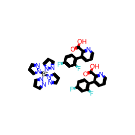 O=C(O)c1ncccc1-c1ccc(F)cc1F.O=C(O)c1ncccc1-c1ccc(F)cc1F.c1cnn([B-](n2cccn2)(n2cccn2)n2cccn2)c1